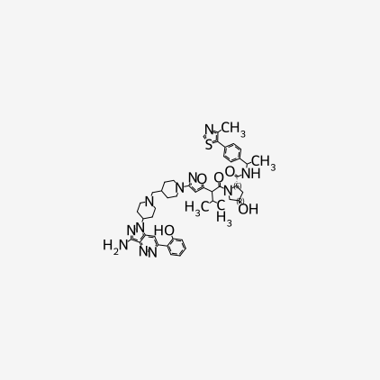 Cc1ncsc1-c1ccc(C(C)NC(=O)[C@@H]2C[C@@H](O)CN2C(=O)C(c2cc(N3CCC(CN4CCC(n5nc(N)c6nnc(-c7ccccc7O)cc65)CC4)CC3)no2)C(C)C)cc1